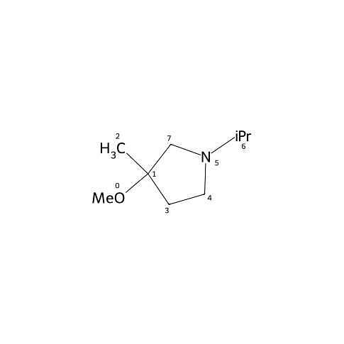 COC1(C)CCN(C(C)C)C1